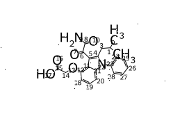 CC(C)Cc1c(C(=O)C(N)=O)c2c(OCC(=O)O)cccc2n1-c1ccccc1